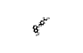 CC(C)Oc1ccc2ccnc(OCC3(F)CCN(C(=O)CC#N)CC3)c2c1